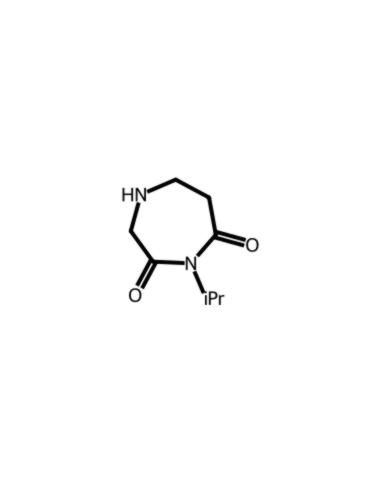 CC(C)N1C(=O)CCNCC1=O